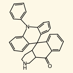 O=C1c2ccccc2C2(c3ccccc3N(c3ccccc3)c3ccccc32)C2CCNCC12